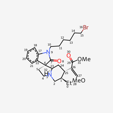 CC[C@H]1CN2CC[C@]3(C(=O)N(CCCCCCBr)c4ccccc43)[C@H]2C[C@@H]1/C(=C\OC)C(=O)OC